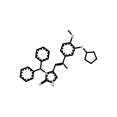 COc1ccc(C(C)=Cc2c[nH]c(=O)n2C(c2ccccc2)c2ccccc2)cc1OC1CCCC1